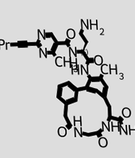 Cc1cc2cc(c1NC(=O)[C@H](CCN)NC(=O)c1cnc(C#CC(C)C)nc1C)-c1cccc(c1)CC(=O)NCC(=O)NC(C(N)=O)C2